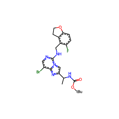 CC(NC(=O)OC(C)(C)C)c1cn2c(NCc3c(F)ccc4c3CCO4)ncc(Br)c2n1